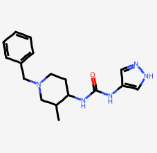 CC1CN(Cc2ccccc2)CCC1NC(=O)Nc1cn[nH]c1